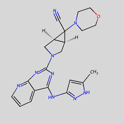 Cc1cc(Nc2nc(N3C[C@@H]4[C@H](C3)C4(C#N)N3CCOCC3)nc3ncccc23)n[nH]1